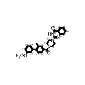 Cc1cc(C(=O)N2CCN(c3nc4ccccc4c(=O)[nH]3)CC2)ccc1-c1cccc(OC(F)(F)F)c1